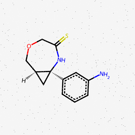 Nc1cccc([C@]23C[C@H]2COCC(=S)N3)c1